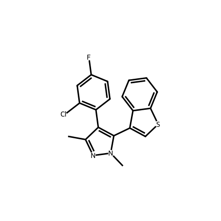 Cc1nn(C)c(-c2csc3ccccc23)c1-c1ccc(F)cc1Cl